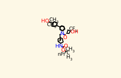 CCCC(C)(C)OC(=O)NC12CCC(CN(c3cccc(-c4ccc(C(C)(C)O)cc4)c3)C(=O)[C@H]3C[C@](O)(C(F)(F)F)C3)(CC1)CC2